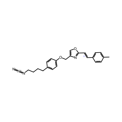 Cc1ccc(/C=C/c2nc(COc3ccc(CCCCN=[N+]=[N-])cc3)co2)cc1